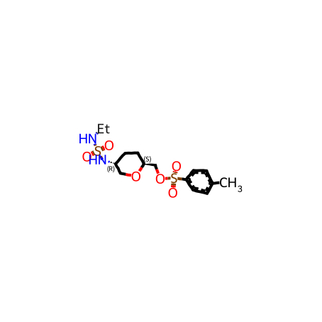 CCNS(=O)(=O)N[C@@H]1CC[C@@H](COS(=O)(=O)c2ccc(C)cc2)OC1